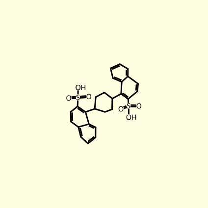 O=S(=O)(O)c1ccc2ccccc2c1C1CCC(c2c(S(=O)(=O)O)ccc3ccccc23)CC1